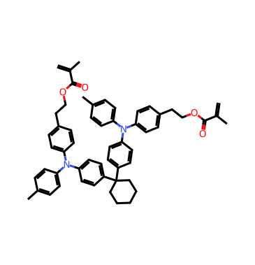 C=C(C)C(=O)OCCc1ccc(N(c2ccc(C)cc2)c2ccc(C3(c4ccc(N(c5ccc(C)cc5)c5ccc(CCOC(=O)C(=C)C)cc5)cc4)CCCCC3)cc2)cc1